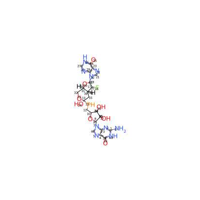 Nc1nc2c(ncn2[C@@H]2OC(CPC3(O)C[C@H]4[C@H](F)[C@H](n5cnc6c(=O)[nH]cnc65)O[C@@H]4CO3)[C@@H](O)[C@H]2O)c(=O)[nH]1